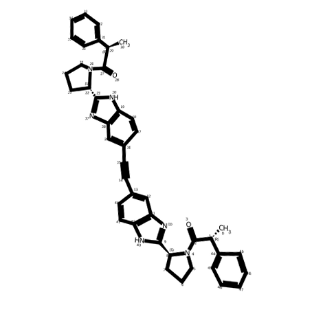 C[C@@H](C(=O)N1CCC[C@H]1c1nc2cc(C#Cc3ccc4[nH]c([C@@H]5CCCN5C(=O)[C@H](C)c5ccccc5)nc4c3)ccc2[nH]1)c1ccccc1